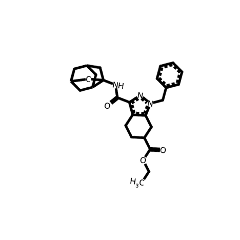 CCOC(=O)C1CCc2c(C(=O)NC34CC5CC(CC3C5)C4)nn(Cc3ccccc3)c2C1